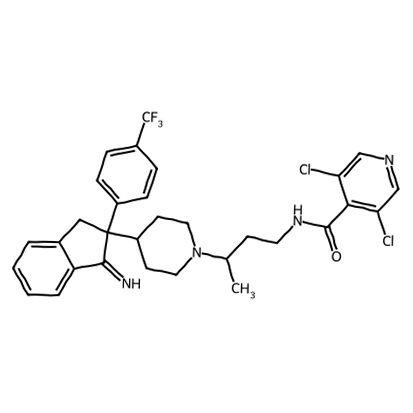 CC(CCNC(=O)c1c(Cl)cncc1Cl)N1CCC(C2(c3ccc(C(F)(F)F)cc3)Cc3ccccc3C2=N)CC1